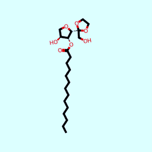 CCCCCCCCCCCCCC(=O)O[C@@H]1[C@@H](O)CO[C@@H]1C1(CO)OCCO1